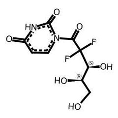 O=C(n1ccc(=O)[nH]c1=O)C(F)(F)[C@@H](O)[C@H](O)CO